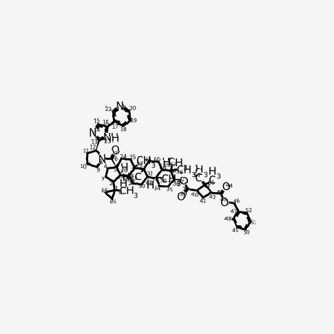 CC1(C2CC[C@]3(C(=O)N4CCC[C@H]4c4ncc(-c5cccnc5)[nH]4)CC[C@]4(C)[C@H](CC[C@@H]5[C@@]6(C)CC[C@H](OC(=O)C7CC(C(=O)OCc8ccccc8)C7(C)C)C(C)(C)[C@@H]6CC[C@]54C)[C@@H]23)CC1